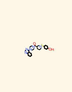 O=C(C1CCCN(Sc2ccc(O)cc2)C1)N1CCN(c2ncnc3ccccc23)CC1